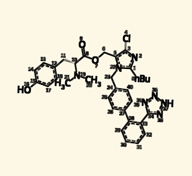 CCCCc1nc(Cl)c(COC(=O)[C@@H](Cc2ccc(O)cc2)N(C)C)n1Cc1ccc(-c2ccccc2-c2nn[nH]n2)cc1